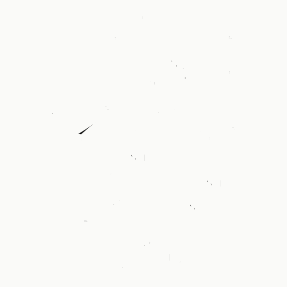 O=C(NC1Cc2ncccc2O[C@@H]1CO)c1cccc(F)c1-c1cc(-c2ccc(F)cc2)[nH]n1